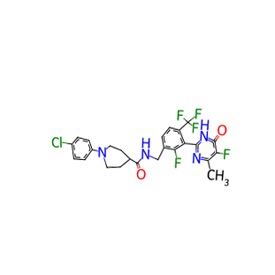 Cc1nc(-c2c(C(F)(F)F)ccc(CNC(=O)C3CCN(c4ccc(Cl)cc4)CC3)c2F)[nH]c(=O)c1F